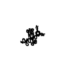 CCOC(=O)COc1nc(S(C)(=O)=O)nc(Oc2cc(Br)cc(C#N)c2)c1[N+](=O)[O-]